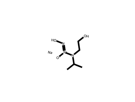 CC(C)N(CCO)[N+]([O-])=NO.[Na]